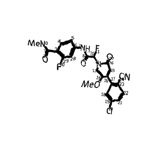 CNC(=O)c1ccc(NC(=O)C(F)n2cc(OC)c(-c3cc(Cl)ccc3C#N)cc2=O)cc1F